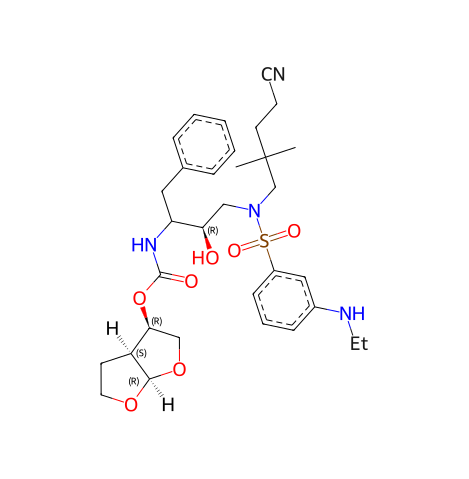 CCNc1cccc(S(=O)(=O)N(C[C@@H](O)C(Cc2ccccc2)NC(=O)O[C@H]2CO[C@H]3OCC[C@H]32)CC(C)(C)CCC#N)c1